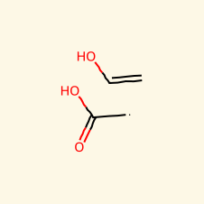 C=CO.[CH2]C(=O)O